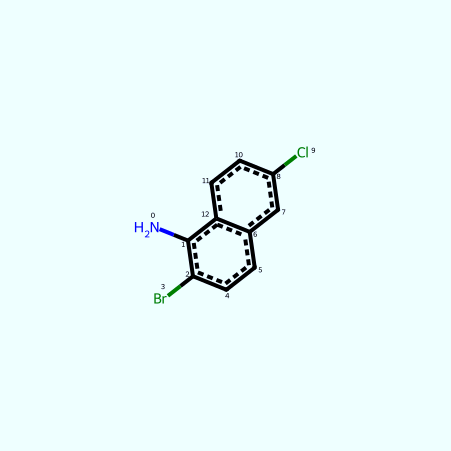 Nc1c(Br)ccc2cc(Cl)ccc12